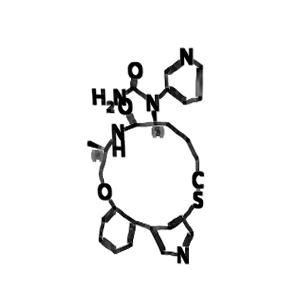 C[C@@H]1COc2ccccc2-c2cncc(c2)SCCCC[C@H](N(C(N)=O)c2cccnc2)C(=O)N1